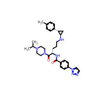 Cc1ccc([C@@H]2C[C@H]2NCCC[C@H](NC(=O)c2ccc(-n3ccnn3)cc2)C(=O)N2CCN(C(C)C)CC2)cc1